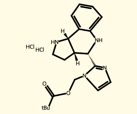 CC(C)(C)C(=O)OCn1ccnc1[C@H]1Nc2ccccc2[C@H]2NCC[C@H]21.Cl.Cl